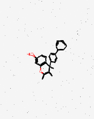 CC1=C(C)C(C)(c2ccc(-c3ccccc3)cc2)c2ccc(O)cc2O1